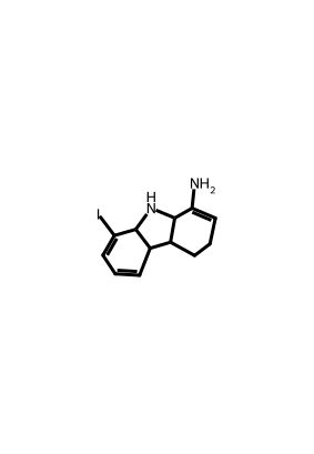 NC1=CCCC2C1NC1C(I)=CC=CC12